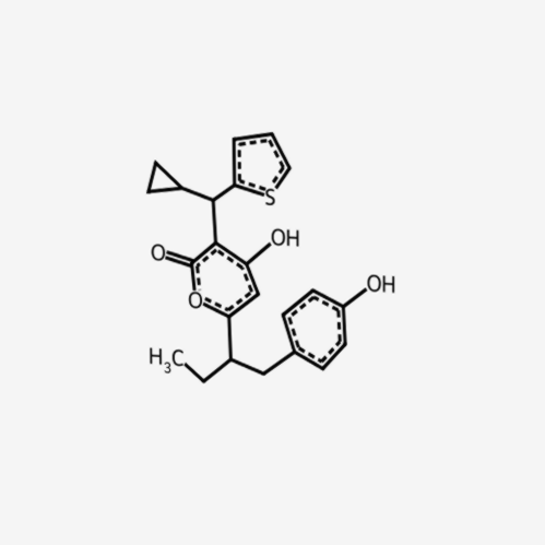 CCC(Cc1ccc(O)cc1)c1cc(O)c(C(c2cccs2)C2CC2)c(=O)o1